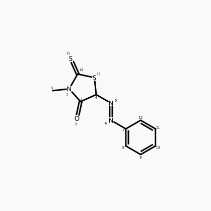 CN1C(=O)C(N=Nc2ccccc2)SC1=S